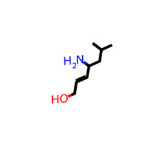 CC(C)CC(N)C=CCO